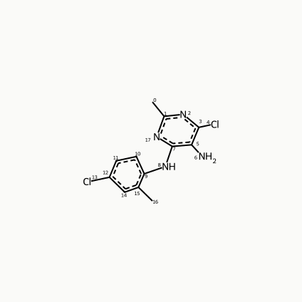 Cc1nc(Cl)c(N)c(Nc2ccc(Cl)cc2C)n1